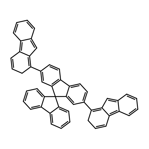 C1=CC2=c3ccccc3=CC2=C(c2ccc3c(c2)C2(c4ccccc4-c4ccccc42)c2cc(C4=C5C=c6ccccc6=C5C=CC4)ccc2-3)C1